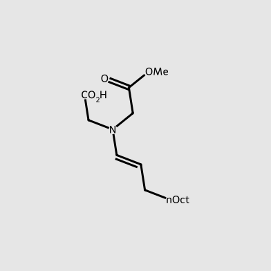 CCCCCCCCCC=CN(CC(=O)O)CC(=O)OC